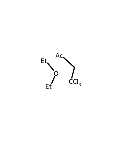 CC(=O)CC(Cl)(Cl)Cl.CCOCC